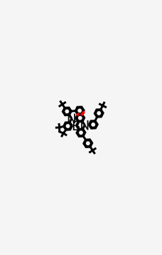 Cc1cc2c3c(c1)N(c1ccc(C(C)(C)C)cc1-c1ccccc1)c1cc4c(cc1B3c1ccc(-c3ccc(C(C)(C)C)cc3)cc1N2c1cccc(-c2ccc(C(C)(C)C)cc2)c1)C(C)(C)CC4(C)C